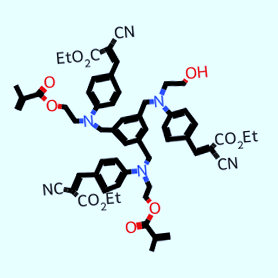 C=C(C)C(=O)OCCN(Cc1cc(CN(CCO)c2ccc(/C=C(/C#N)C(=O)OCC)cc2)cc(CN(CCOC(=O)C(=C)C)c2ccc(/C=C(/C#N)C(=O)OCC)cc2)c1)c1ccc(/C=C(/C#N)C(=O)OCC)cc1